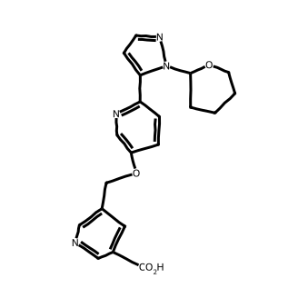 O=C(O)c1cncc(COc2ccc(-c3ccnn3C3CCCCO3)nc2)c1